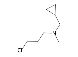 CN(CCCCl)CC1CC1